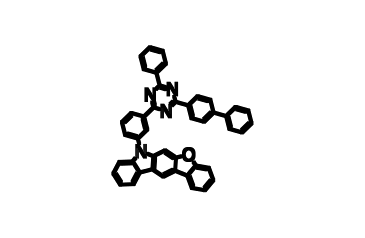 c1ccc(-c2ccc(-c3nc(-c4ccccc4)nc(-c4cccc(-n5c6ccccc6c6cc7c(cc65)oc5ccccc57)c4)n3)cc2)cc1